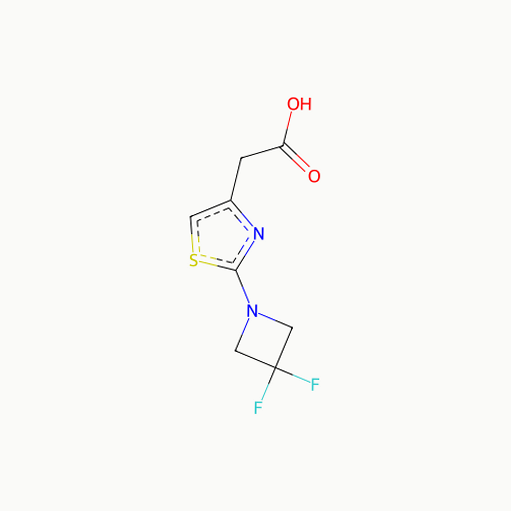 O=C(O)Cc1csc(N2CC(F)(F)C2)n1